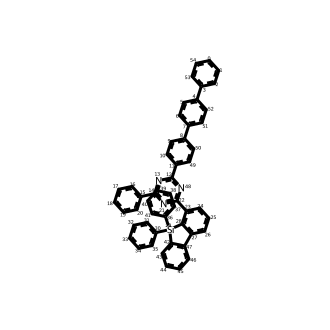 c1ccc(-c2ccc(-c3ccc(-c4nc(-c5ccccc5)nc(-c5cccc6c5[Si](c5ccccc5)(c5ccccc5)c5ccccc5-6)n4)cc3)cc2)cc1